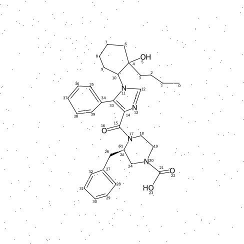 CCCCC1(O)CCCCC1n1cnc(C(=O)N2CCN(C(=O)O)C[C@H]2Cc2ccccc2)c1-c1ccccc1